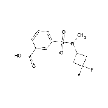 CN(C1CC(F)(F)C1)S(=O)(=O)c1cccc(C(=O)O)c1